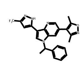 Cc1noc(C)c1-c1cnc2c(-c3cc(C(F)(F)F)n[nH]3)cn(C(C)c3ccccc3)c2c1